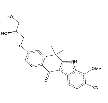 COc1c(C#N)ccc2c3c([nH]c12)C(C)(C)c1cc(OC[C@@H](O)CO)ccc1C3=O